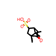 CC12CC(S(=O)(=O)O)C(CC1=O)C2(C)C